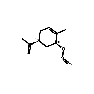 C=C(C)[C@H]1CC=C(C)[C@@H](ON=O)C1